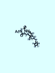 CC(=O)N1CC(=O)N/C(=C\c2ncn(CCCn3cccc3)c2C(C)C)C1=O